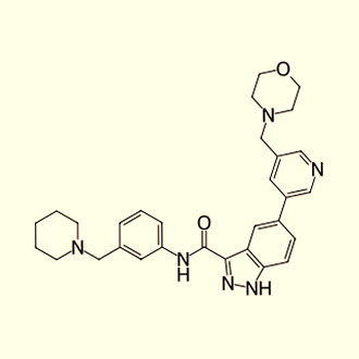 O=C(Nc1cccc(CN2CCCCC2)c1)c1n[nH]c2ccc(-c3cncc(CN4CCOCC4)c3)cc12